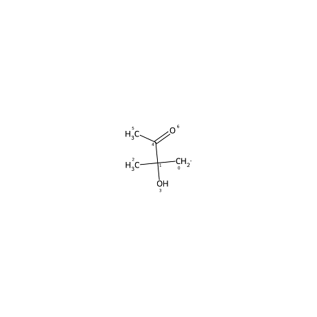 [CH2]C(C)(O)C(C)=O